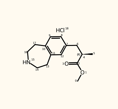 COC(=O)[C@H](C)Cc1ccc2c(c1)CCNCC2.Cl